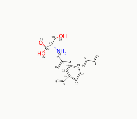 C=C(C)C.C=CC=C.C=Cc1ccccc1.N[C@@H](CO)C(=O)O